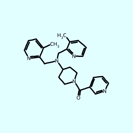 Cc1cccnc1CN(Cc1ncccc1C)C1CCN(C(=O)c2cccnc2)CC1